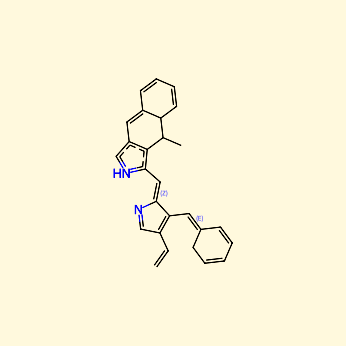 C=CC1=C(/C=C2/C=CC=CC2)/C(=C/c2[nH]cc3c2C(C)C2C=CC=CC2=C3)N=C1